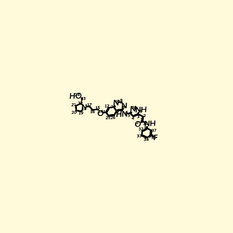 O=C(Cc1cc(Nc2ncnc3cc(OCCCN4CCC[C@H]4CO)ccc23)n[nH]1)Nc1cccc(F)c1